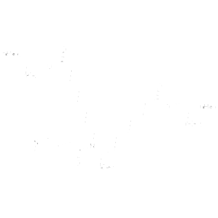 CCCCCCCCCCC(CCCCCCC(=O)OCC(CCCCCC)CCCCCCCC)N(CCCCCCCC(=O)OCC(CCCCCC)CCCCCCCC)C(=O)CCCN(C)C